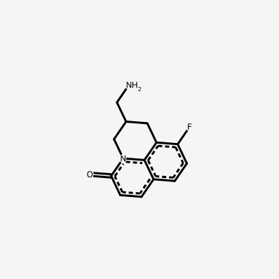 NCC1Cc2c(F)ccc3ccc(=O)n(c23)C1